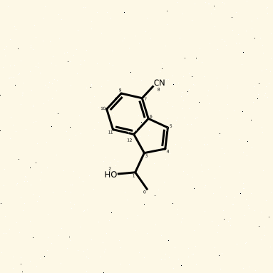 CC(O)C1C=Cc2c(C#N)cccc21